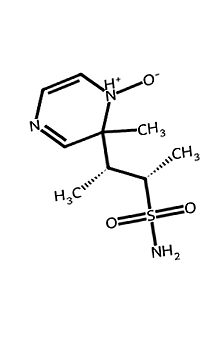 C[C@@H]([C@H](C)S(N)(=O)=O)C1(C)C=NC=C[NH+]1[O-]